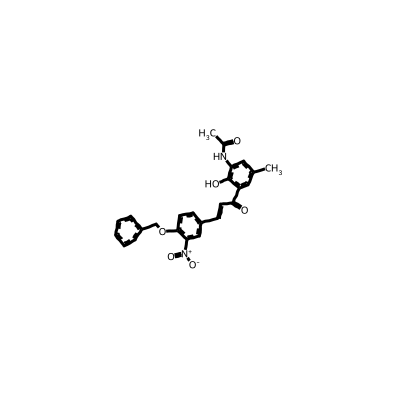 CC(=O)Nc1cc(C)cc(C(=O)/C=C/c2ccc(OCc3ccccc3)c([N+](=O)[O-])c2)c1O